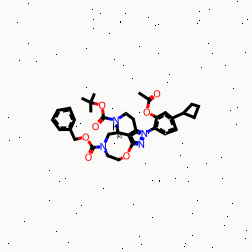 CC(=O)Oc1cc(C2CCC2)ccc1-n1nc2c3c1CCN(C(=O)OC(C)(C)C)[C@H]3CN(C(=O)OCc1ccccc1)CCO2